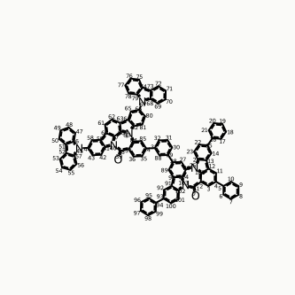 O=c1c2cc(-c3ccccc3)cc3c4cc(-c5ccccc5)ccc4n(c4cc(-c5cccc(-c6ccc7c(=O)n8c9ccc(-n%10c%11ccccc%11c%11ccccc%11%10)cc9c9ccc%10c%11cc(-n%12c%13ccccc%13c%13ccccc%13%12)ccc%11n(c7c6)c%10c98)c5)cc5c6cc(-c7ccccc7)ccc6n1c54)c23